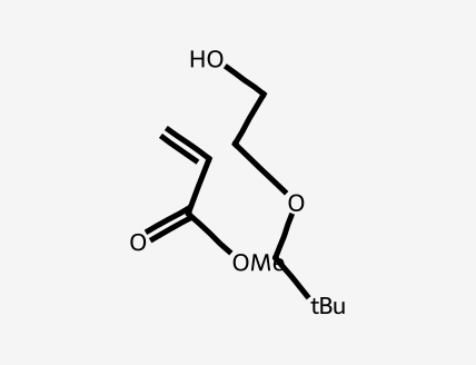 C=CC(=O)OC.CC(C)(C)COCCO